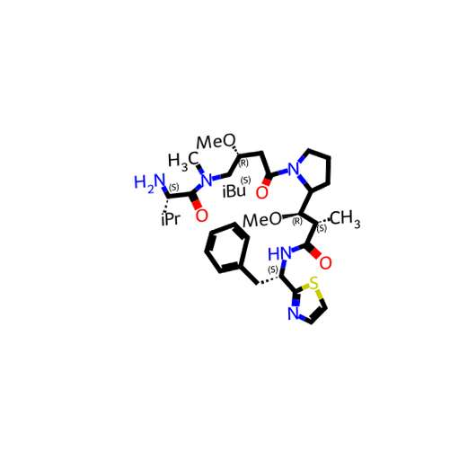 CC[C@H](C)C([C@@H](CC(=O)N1CCCC1[C@H](OC)[C@H](C)C(=O)N[C@@H](Cc1ccccc1)c1nccs1)OC)N(C)C(=O)[C@@H](N)C(C)C